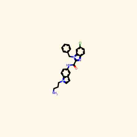 NCCCn1ccc2cc(NC(=O)c3nc4ccc(Cl)cc4n3Cc3ccccc3)ccc21